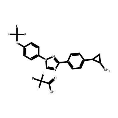 NC1CC1c1ccc(-c2ncn(-c3ccc(OC(F)(F)F)cc3)n2)cc1.O=C(O)C(F)(F)F